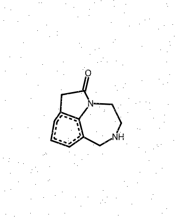 O=C1Cc2cccc3c2N1CCNC3